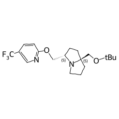 CC(C)(C)OC[C@@]12CCCN1[C@H](COc1ccc(C(F)(F)F)cn1)CC2